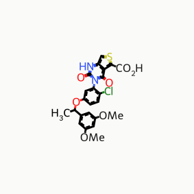 COc1cc(OC)cc(C(C)Oc2ccc(Cl)c(-n3c(=O)[nH]c4csc(C(=O)O)c4c3=O)c2)c1